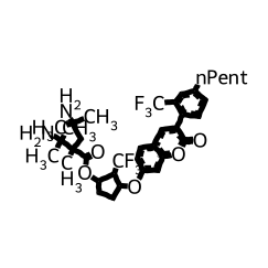 CCCCCc1ccc(-c2cc3ccc(OC4CCC(OC(=O)C(C)(CC(C)(C)N)C(C)(C)N)C4C(F)(F)F)cc3oc2=O)c(C(F)(F)F)c1